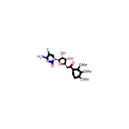 COc1ccc(C(=O)C[C@H]2O[C@@H](n3cc(F)c(N)nc3=O)[C@H](O)[C@@H]2O)c(OC)c1OC